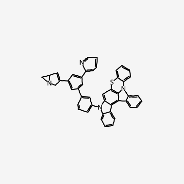 C1=C(c2cc(-c3cccc(-n4c5ccccc5c5c6c7ccccc7n7c6c(cc54)Sc4ccccc4-7)c3)cc(-c3ccccn3)c2)CN2CC12